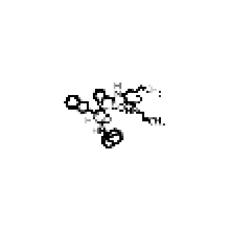 C=CCCC(NC(=O)[C@@H]1CCCN1C(=O)[C@@H](NC(=O)NC12CC3CC(CC(C3)C1)C2)C1Cc2ccccc2C1)C(=O)C(=O)NCC=C